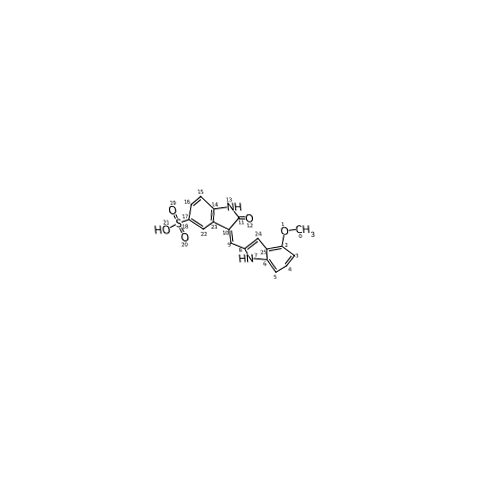 COc1cccc2[nH]c(C=C3C(=O)Nc4ccc(S(=O)(=O)O)cc43)cc12